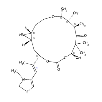 C/C(=C\C1=CSCN1C)[C@@H]1C[C@@H]2N[C@@H]2CCC[C@H](C)[C@H](O)[C@@H](C)C(=O)C(C)(C)[C@@H](O)CC(=O)O1